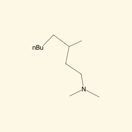 CCCCCC(C)CCN(C)C